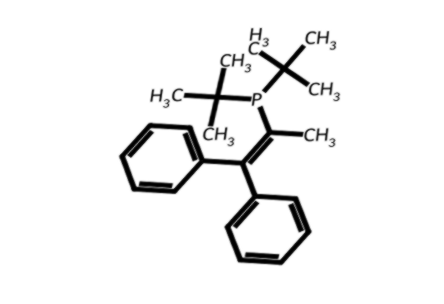 CC(=C(c1ccccc1)c1ccccc1)P(C(C)(C)C)C(C)(C)C